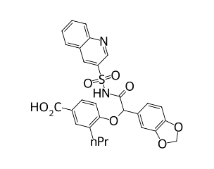 CCCc1cc(C(=O)O)ccc1OC(C(=O)NS(=O)(=O)c1cnc2ccccc2c1)c1ccc2c(c1)OCO2